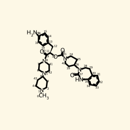 CN1CCC(N2CCN(C(=O)[C@@H](Cc3ccc(N)cc3)OC(=O)N3CCC(N4CCc5ccccc5NC4=O)CC3)CC2)CC1